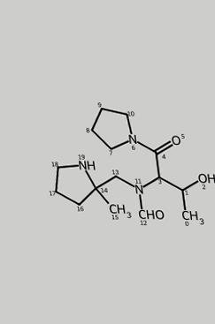 CC(O)C(C(=O)N1CCCC1)N(C=O)CC1(C)CCCN1